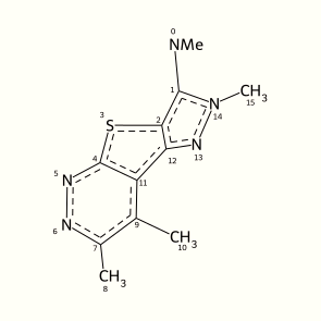 CNc1c2sc3nnc(C)c(C)c3c2nn1C